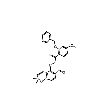 COc1ccc(C(=O)COc2c(C=O)ccc3c2C=CC(C)(C)O3)c(OCc2ccccc2)c1